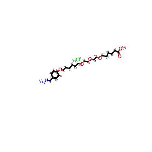 Cl.NCc1ccc(OCCCCCCOCCOCCOCCCCCC(=O)O)cc1